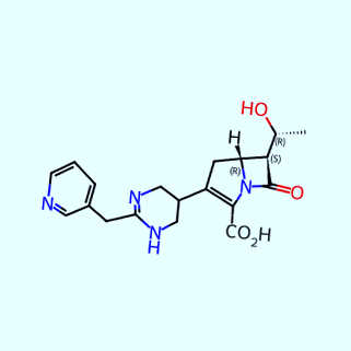 C[C@@H](O)[C@H]1C(=O)N2C(C(=O)O)=C(C3CN=C(Cc4cccnc4)NC3)C[C@H]12